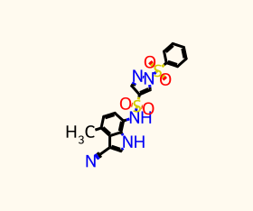 Cc1ccc(NS(=O)(=O)c2cnn(S(=O)(=O)c3ccccc3)c2)c2[nH]cc(C#N)c12